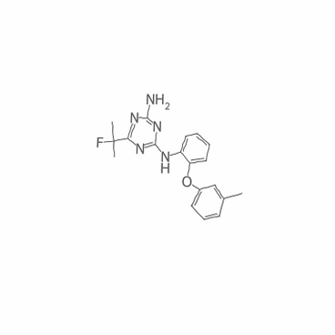 Cc1cccc(Oc2ccccc2Nc2nc(N)nc(C(C)(C)F)n2)c1